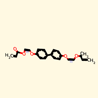 C=CC(=C)O/C=C\Oc1ccc(-c2ccc(O/C=C\OC(=O)C=C)cc2)cc1